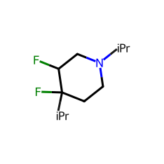 CC(C)N1CCC(F)(C(C)C)C(F)C1